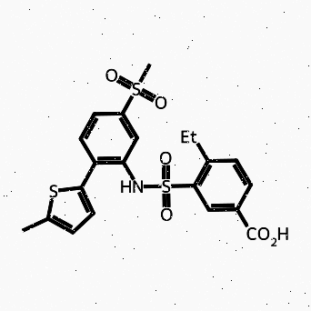 CCc1ccc(C(=O)O)cc1S(=O)(=O)Nc1cc(S(C)(=O)=O)ccc1-c1ccc(C)s1